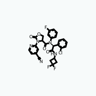 N#Cc1ccnc(N2C(=O)OCC2C(=O)N(c2cccc(F)c2)[C@H](C(=O)NC2CC(F)(F)C2)c2ccccc2Cl)c1